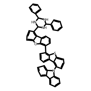 c1ccc(C2NC(c3ccccc3)NC(c3cccc4oc5c(-c6cccc7c6sc6cccc(-n8c9ccccc9c9ccccc98)c67)cccc5c34)N2)cc1